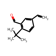 C=Cc1ccc(C(C)(C)C)c([C]=O)c1